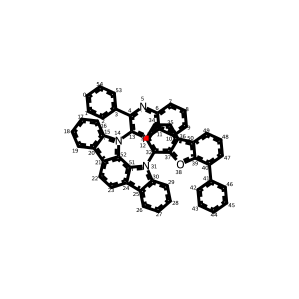 c1ccc(-c2nc3ccccc3nc2-n2c3ccccc3c3ccc4c5ccccc5n(-c5cccc6c5oc5c(-c7ccccc7)cccc56)c4c32)cc1